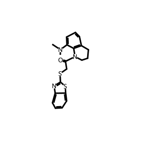 CN(C)c1cccc2c1N(C(=O)CSc1nc3ccccc3s1)CCC2